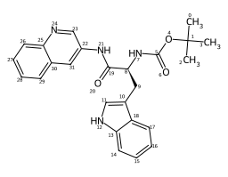 CC(C)(C)OC(=O)N[C@@H](Cc1c[nH]c2ccccc12)C(=O)Nc1cnc2ccccc2c1